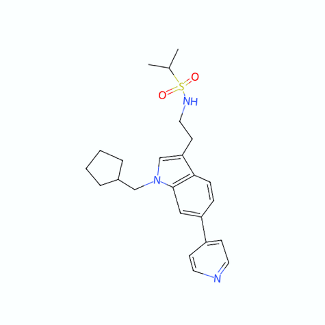 CC(C)S(=O)(=O)NCCc1cn(CC2CCCC2)c2cc(-c3ccncc3)ccc12